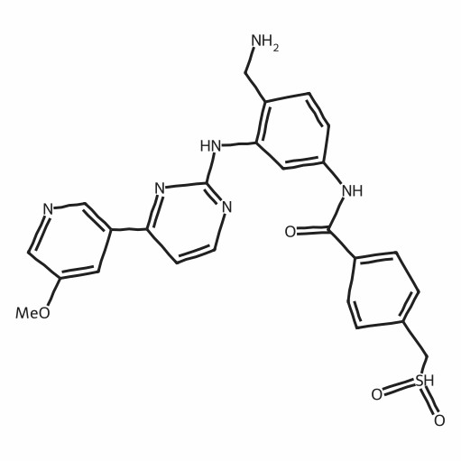 COc1cncc(-c2ccnc(Nc3cc(NC(=O)c4ccc(C[SH](=O)=O)cc4)ccc3CN)n2)c1